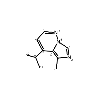 Cc1ncn2nccc(C(C)C)c12